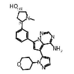 CN1C[C@@H](O)C[C@@H]1c1cccc(-c2cc(-c3ccnn3C3CCOCC3)c3c(N)ncnn23)c1